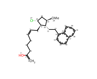 C=C(O)CCC/C=C\C[C@@H]1[C@@H](CCc2cccc3ccccc23)[C@H](OC)C[C@H]1Cl